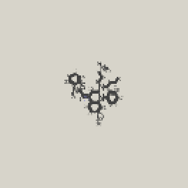 CCCCN(CCCN(C)C)C1=C/C(=C\c2sc3ccccc3[n+]2C)c2ccc(OC)cc2N1c1ccccc1